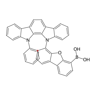 OB(O)c1cccc2c1oc1c(-n3c4ccccc4c4ccc5c6ccccc6n(-c6ccccc6)c5c43)cccc12